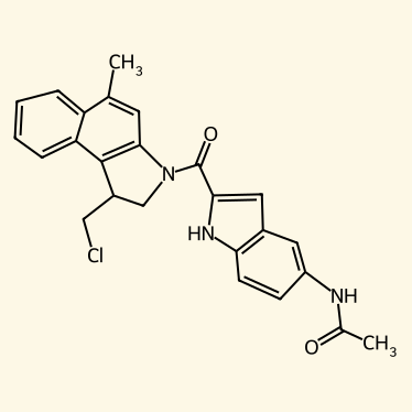 CC(=O)Nc1ccc2[nH]c(C(=O)N3CC(CCl)c4c3cc(C)c3ccccc43)cc2c1